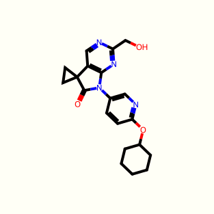 O=C1N(c2ccc(OC3CCCCC3)nc2)c2nc(CO)ncc2C12CC2